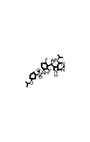 CC(C)Nc1ncnc2[nH]cc(C(=O)c3c(F)ccc(NS(=O)(=O)c4cccc(OC(C)C)c4)c3F)c12